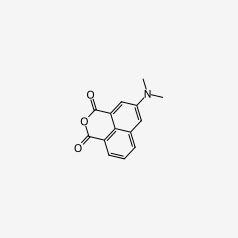 CN(C)c1cc2c3c(cccc3c1)C(=O)OC2=O